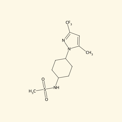 Cc1cc(C(F)(F)F)nn1C1CCC(NS(C)(=O)=O)CC1